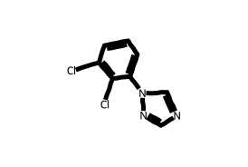 Clc1cccc(-n2cncn2)c1Cl